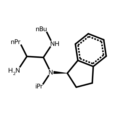 CCCCNC(C(N)CCC)N(C(C)C)[C@@H]1CCc2ccccc21